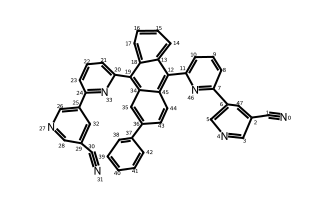 N#Cc1cncc(-c2cccc(-c3c4ccccc4c(-c4cccc(-c5cncc(C#N)c5)n4)c4cc(-c5ccccc5)ccc34)n2)c1